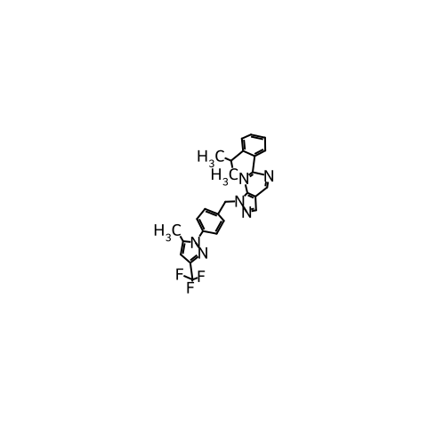 Cc1cc(C(F)(F)F)nn1-c1ccc(Cn2ncc3cnc(-c4ccccc4C(C)C)nc32)cc1